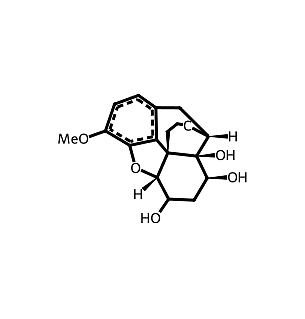 COc1ccc2c3c1O[C@H]1C(O)C[C@H](O)[C@@]4(O)[C@H](CCC[C@]314)C2